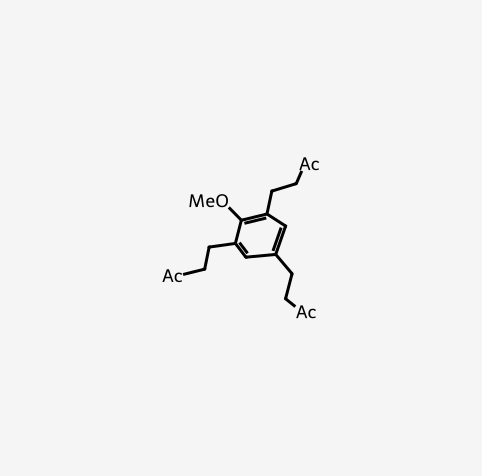 [CH2]Oc1c(CCC(C)=O)cc(CCC(C)=O)cc1CCC(C)=O